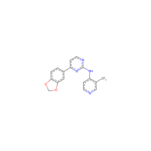 FC(F)(F)c1cnccc1Nc1nccc(-c2ccc3c(c2)OCO3)n1